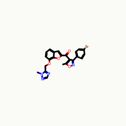 Cc1onc(-c2ccc(Br)cc2)c1C(=O)c1cc2cccc(OCc3ncnn3C)c2o1